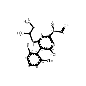 CCC(C)Nc1nc(N(S)C=O)nc(Cl)c1-c1c(F)cccc1Cl